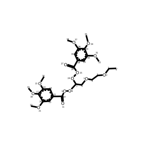 [CH2]COCCOC[C](OOC(=O)c1cc(OC)c(OC)c(OC)c1)OOC(=O)c1cc(OC)c(OC)c(OC)c1